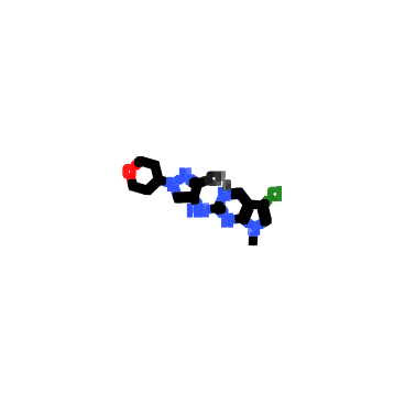 Cn1cc(Cl)c2cnc(Nc3cn(C4CCOCC4)nc3C(F)(F)F)nc21